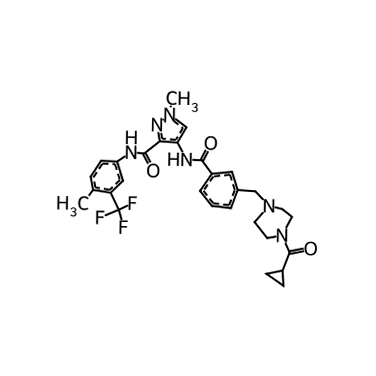 Cc1ccc(NC(=O)c2nn(C)cc2NC(=O)c2cccc(CN3CCN(C(=O)C4CC4)CC3)c2)cc1C(F)(F)F